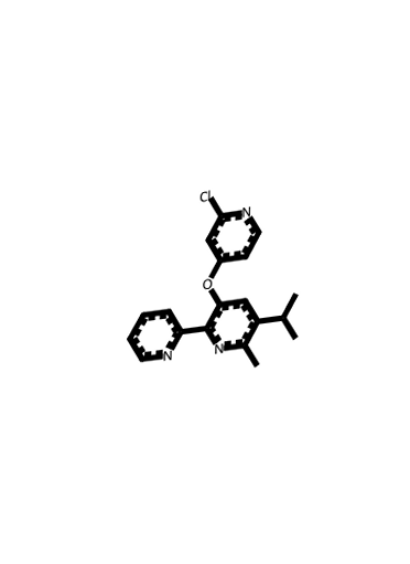 Cc1nc(-c2ccccn2)c(Oc2ccnc(Cl)c2)cc1C(C)C